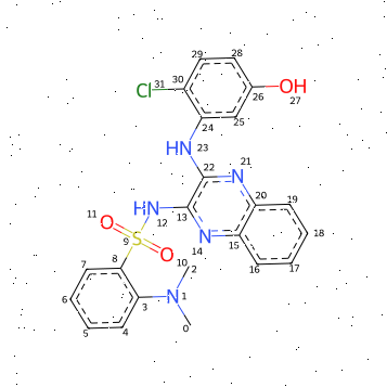 CN(C)c1ccccc1S(=O)(=O)Nc1nc2ccccc2nc1Nc1cc(O)ccc1Cl